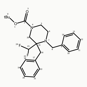 CC(C)(C)OC(=O)N1CCN(Cc2ccccc2)C(Cc2ccccc2)(C(F)F)C1